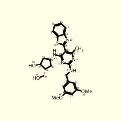 COc1cc(CNc2nc(C)c(-c3nc4ccccc4s3)c(N[C@@H]3C[C@H](CO)[C@@H](O)C3)n2)cc(OC)c1